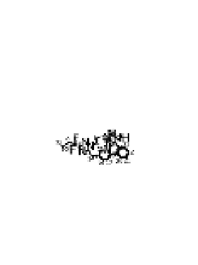 CCCn1nc(C(F)(F)CCC)nc1Cc1ccc(-c2ccccc2-c2nnn[nH]2)nc1